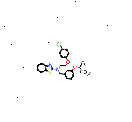 CCC(Oc1cccc(CN(CCOc2ccc(Cl)cc2)c2nc3ccccc3s2)c1)C(=O)O